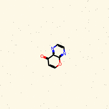 O=c1ccoc2nccnc12